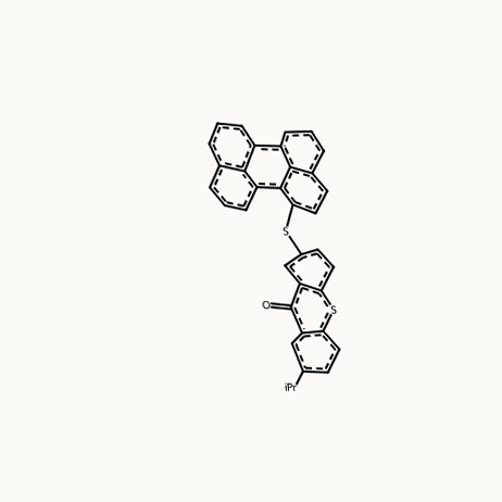 CC(C)c1ccc2sc3ccc(Sc4ccc5cccc6c7cccc8cccc(c4c56)c87)cc3c(=O)c2c1